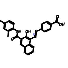 Cc1ccc(NC(=O)c2cc3ccccc3c(/N=N/c3ccc(C(=O)O)cc3)c2O)c(C)c1